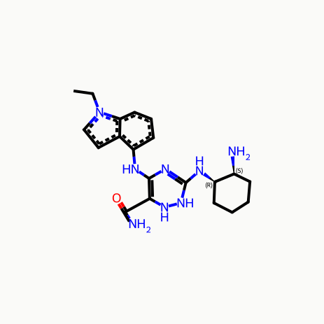 CCn1ccc2c(NC3=C(C(N)=O)NNC(N[C@@H]4CCCC[C@@H]4N)=N3)cccc21